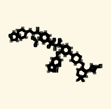 CC1(C)CCC(CN2CCN(c3ccc(C(=O)NS(=O)(=O)c4ccc(NCCN5CCC6(CCOC6)CC5)c([N+](=O)[O-])c4)c(Oc4cnc5[nH]ccc5c4)c3)CC2)=C(C23CC(Cl)(C2)C3)C1